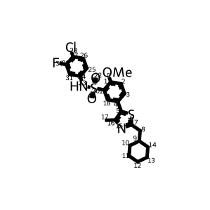 COc1ccc(-c2sc(CC3CCCCC3)nc2C)cc1S(=O)(=O)Nc1ccc(Cl)c(F)c1